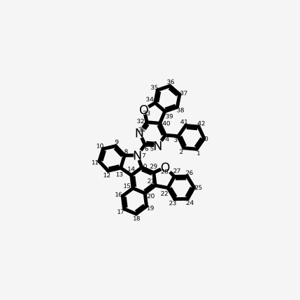 c1ccc(-c2nc(-n3c4ccccc4c4c5ccccc5c5c6ccccc6oc5c43)nc3oc4ccccc4c23)cc1